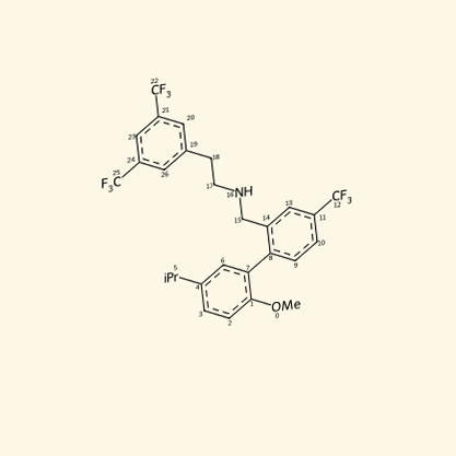 COc1ccc(C(C)C)cc1-c1ccc(C(F)(F)F)cc1CNCCc1cc(C(F)(F)F)cc(C(F)(F)F)c1